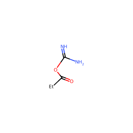 CCC(=O)OC(=N)N